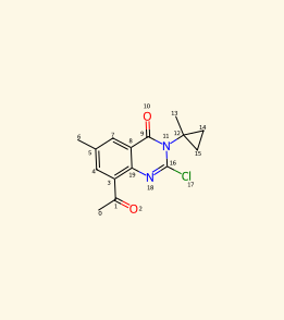 CC(=O)c1cc(C)cc2c(=O)n(C3(C)CC3)c(Cl)nc12